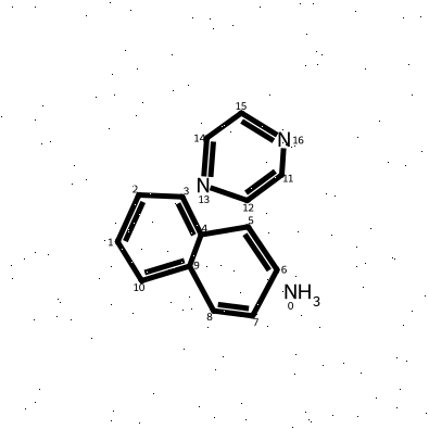 N.c1ccc2ccccc2c1.c1cnccn1